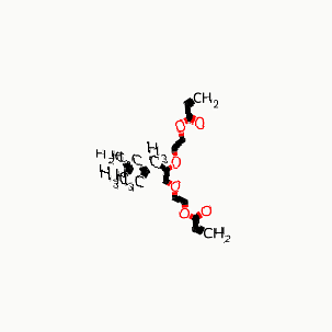 C=CC.C=CC.C=CC(=O)OCCOCC(C)OCCOC(=O)C=C